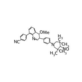 COC1c2cccc(-c3ccc(C#N)cc3)c2N=CC1c1ccc(N2CC(C)(C)C(N=O)C(C)(C)C2)cc1